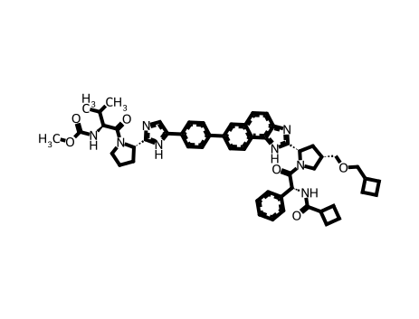 COC(=O)N[C@H](C(=O)N1CCC[C@H]1c1ncc(-c2ccc(-c3ccc4c(ccc5nc([C@@H]6C[C@H](COCC7CCC7)CN6C(=O)[C@H](NC(=O)C6CCC6)c6ccccc6)[nH]c54)c3)cc2)[nH]1)C(C)C